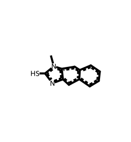 Cn1c(S)nc2cc3ccccc3cc21